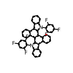 Fc1cc(F)c(-n2c3ccccc3c3c4ccccc4c4c(c5ccccc5c5c6ccccc6n(-c6c(F)cc(F)cc6F)c54)c32)c(F)c1